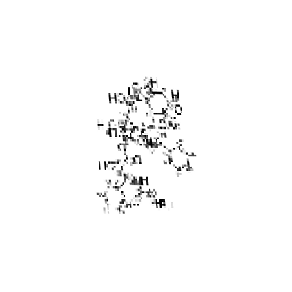 CC(=O)O[C@@]12CO[C@@H]1C[C@H](O)[C@@]1(C)C(=O)[C@H](O)C3=C(C)[C@@H](OC(=O)[C@@H](O)[C@H](NC(=O)OC(C)(C)C)c4ccccc4)C[C@@](O)([C@@H](OC(=O)c4ccccc4)C12)C3(C)C